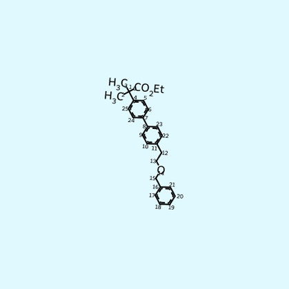 CCOC(=O)C(C)(C)c1ccc(-c2ccc(CCOCc3ccccc3)cc2)cc1